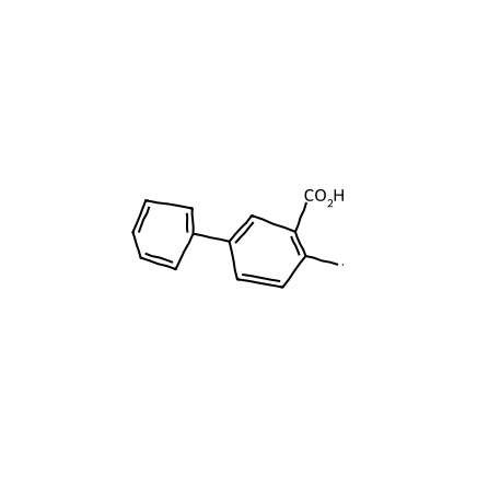 [CH2]c1ccc(-c2ccccc2)cc1C(=O)O